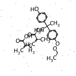 C=C(C)C(=O)O.C=C(C)C(=O)O.CCOOc1ccc(C(C)(C)c2ccc(O)cc2)cc1